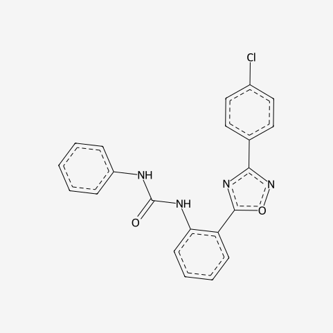 O=C(Nc1ccccc1)Nc1ccccc1-c1nc(-c2ccc(Cl)cc2)no1